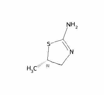 C[C@H]1CN=C(N)S1